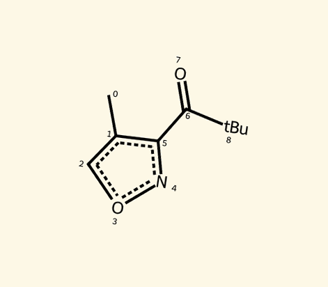 Cc1conc1C(=O)C(C)(C)C